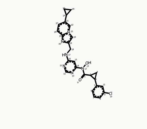 O=C(C1CC1c1cccc(Cl)c1)N(O)c1cc(NCc2cn3cc(C4CC4)ccc3n2)ncn1